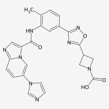 Cc1ccc(-c2noc(C3CN(C(=O)O)C3)n2)cc1NC(=O)c1cnc2ccc(-n3ccnc3)cn12